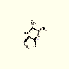 C/C=C\C(Cl)=N/C(C)[C@H](C)[N+](=O)[O-]